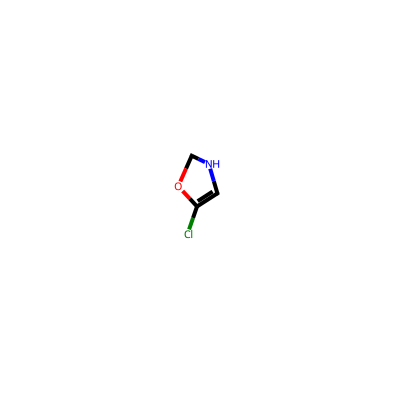 ClC1=CNCO1